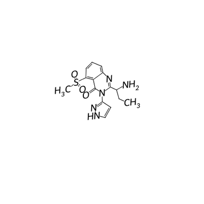 CCC(N)c1nc2cccc(S(C)(=O)=O)c2c(=O)n1-c1cc[nH]n1